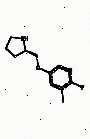 Cc1cc(OC[C@H]2CCCN2)cnc1F